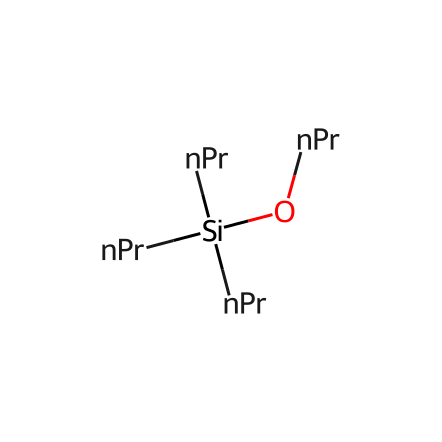 C[CH]CO[Si](CCC)(CCC)CCC